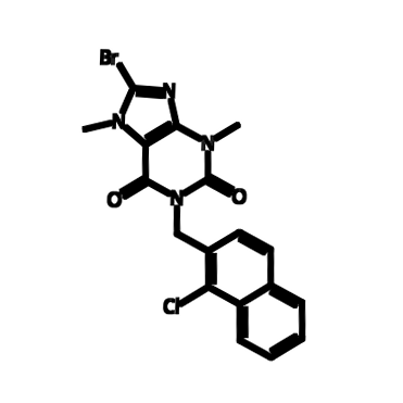 Cn1c(Br)nc2c1c(=O)n(Cc1ccc3ccccc3c1Cl)c(=O)n2C